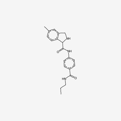 CCCNC(=O)c1ccc(NC(=O)C2NCc3cc(C)ccc32)cc1